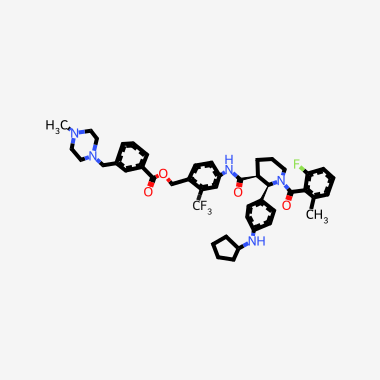 Cc1cccc(F)c1C(=O)N1CCC[C@H](C(=O)Nc2ccc(COC(=O)c3cccc(CN4CCN(C)CC4)c3)c(C(F)(F)F)c2)[C@@H]1c1ccc(NC2CCCC2)cc1